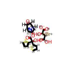 Br.C[N+]1(C)[C@@H]2CC(OC(=O)C(O)(c3cccs3)c3cccs3)C[C@H]1[C@@H]1O[C@@H]12.O=C(O)CC(O)C(=O)[O-]